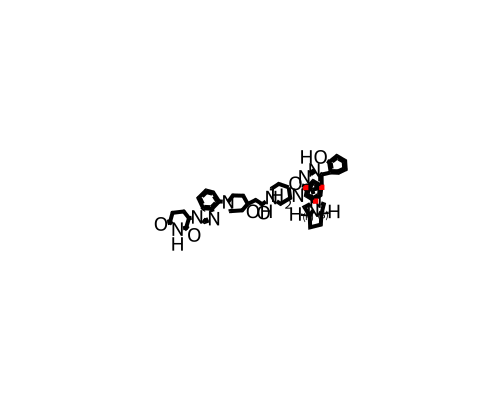 Nc1nnc(-c2ccccc2O)cc1N1C[C@H]2CC[C@@H](C1)N2c1cccc(OC2CCN(C(=O)CC3(O)CCN(c4cccc5c4ncn5C4CCC(=O)NC4=O)CC3)CC2)c1